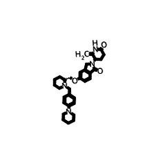 C=C1NC(=O)CCC1N1Cc2cc(OC[C@H]3CCCCN3Cc3ccc(N4CCCCC4)cc3)ccc2C1=O